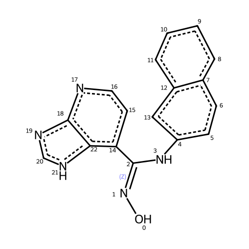 O/N=C(\Nc1ccc2ccccc2c1)c1ccnc2nc[nH]c12